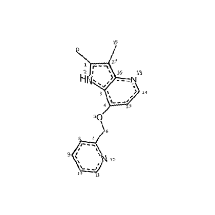 Cc1[nH]c2c(OCc3ccccn3)ccnc2c1C